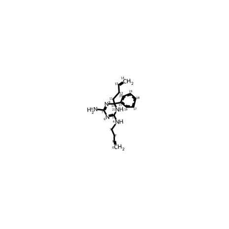 C=CCCNC1=NC(N)=NC(CCC=C)(c2ccccc2)N1